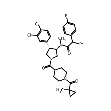 CC(C)C(C(=O)N(C)[C@H]1CN(C(=O)C2CCN(C(=O)C3(C)CC3)CC2)C[C@@H]1c1ccc(Cl)c(Cl)c1)c1ccc(F)cc1